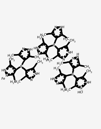 Cc1n[nH]c(C)c1B(c1c(C)n[nH]c1C)c1c(C)n[nH]c1C.Cc1n[nH]c(C)c1B(c1c(C)n[nH]c1C)c1c(C)n[nH]c1C.Cc1n[nH]c(C)c1B(c1c(C)n[nH]c1C)c1c(C)n[nH]c1C.Cl.[Fe]